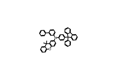 CC1(C)c2ccccc2Oc2ccc(N(c3ccc(C4(c5ccccc5)c5ccccc5-c5ccccc54)cc3)c3cccc(-c4ccccc4)c3)cc21